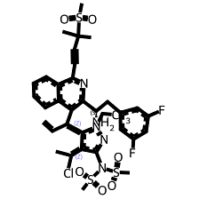 C=C/C(c1c([C@@H](N)Cc2cc(F)cc(F)c2)nc(C#CC(C)(C)S(C)(=O)=O)c2ccccc12)=c1\c(=C(/C)Cl)c(N(S(C)(=O)=O)S(C)(=O)=O)nn1CC(F)(F)F